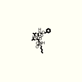 CCCCCN1NC(C(=O)[C@H](CC(C)C)NC(=O)[C@H](CC(C)C)NC(=O)OCc2ccccc2)OC1=O